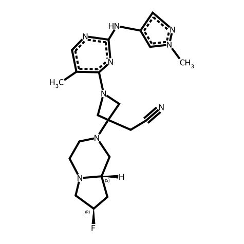 Cc1cnc(Nc2cnn(C)c2)nc1N1CC(CC#N)(N2CCN3C[C@H](F)C[C@H]3C2)C1